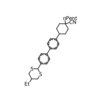 CCCCCC1(C#N)CCC(c2ccc(-c3ccc(C4SCC(CC)CS4)cc3)cc2)CC1